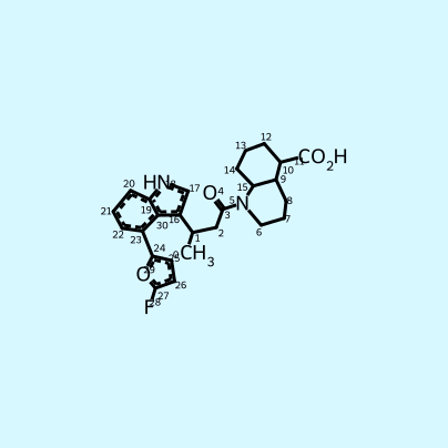 CC(CC(=O)N1CCCC2C(C(=O)O)CCCC21)c1c[nH]c2cccc(-c3ccc(F)o3)c12